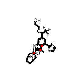 CC(C)(C)OC(=O)N1C2CCC1CN(c1nc3cc(C(OCCO)C(F)(F)F)cc(-c4nccs4)c3o1)C2